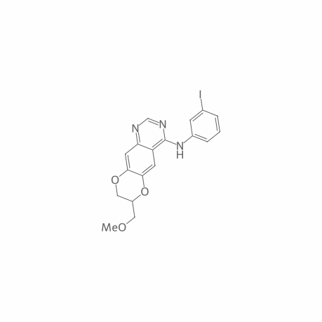 COCC1COc2cc3ncnc(Nc4cccc(I)c4)c3cc2O1